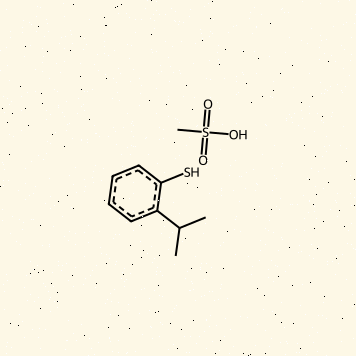 CC(C)c1ccccc1S.CS(=O)(=O)O